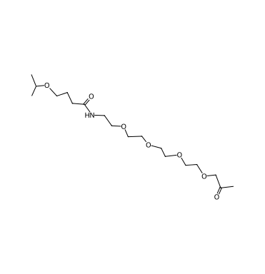 CC(=O)COCCOCCOCCOCCNC(=O)CCCOC(C)C